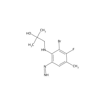 Cc1cc(N=N)c(NCC(C)(C)O)c(Br)c1F